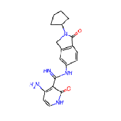 N=C(Nc1ccc2c(c1)CN(C1CCCC1)C2=O)c1c(N)cc[nH]c1=O